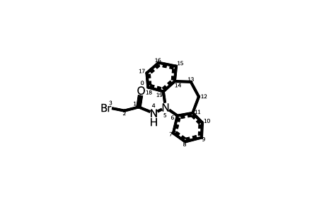 O=C(CBr)NN1c2ccccc2CCc2ccccc21